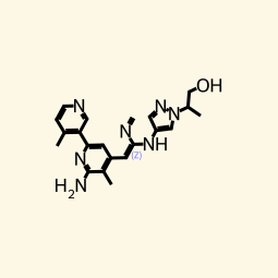 C=N/C(=C\c1cc(-c2cnccc2C)nc(N)c1C)Nc1cnn(C(C)CO)c1